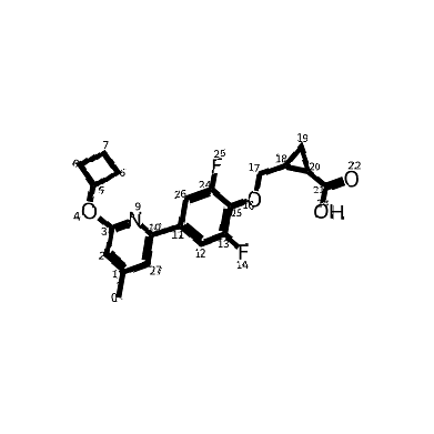 Cc1cc(OC2CCC2)nc(-c2cc(F)c(OCC3CC3C(=O)O)c(F)c2)c1